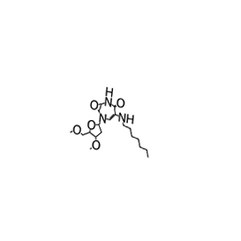 CCCCCCCNC1=CN(C2CC(OC)C(COC)O2)C2OC2NC1=O